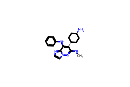 CNc1nn2ccnc2c(Nc2ccccc2)c1[C@H]1CC[C@H](N)CC1